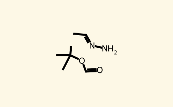 CC(C)(C)OC=O.CC=NN